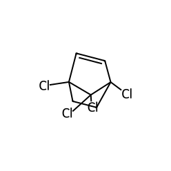 ClC12C=CC(Cl)(CC1)C2(Cl)Cl